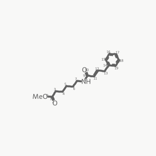 COC(=O)CCCCCNC(=O)/C=C/Cc1ccccc1